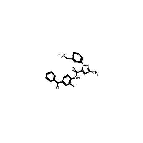 NCc1cccc(-n2nc(C(F)(F)F)cc2C(=O)Nc2ccc(C(Cl)c3ccccc3)cc2F)c1